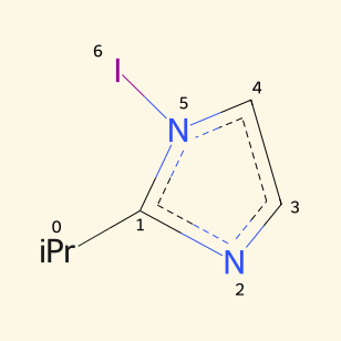 CC(C)c1nccn1I